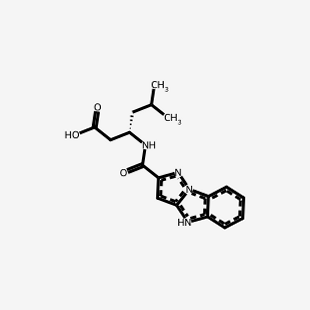 CC(C)C[C@@H](CC(=O)O)NC(=O)c1cc2[nH]c3ccccc3n2n1